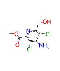 COC(=O)c1nc(CO)c(Cl)c(N)c1Cl